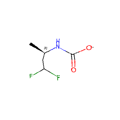 C[C@@H](NC([O])=O)C(F)F